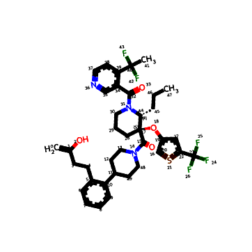 C=C(O)CCc1ccccc1C1CCN(C(=O)[C@]2(Oc3csc(C(F)(F)F)c3)CCCN(C(=O)c3cnccc3C(C)(F)F)[C@@H]2CCC)CC1